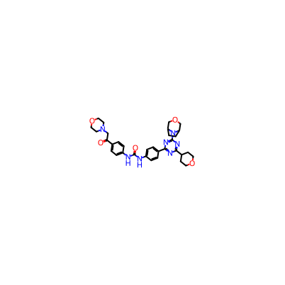 O=C(Nc1ccc(C(=O)CN2CCOCC2)cc1)Nc1ccc(-c2nc(C3CCOCC3)nc(N3C4CCC3COC4)n2)cc1